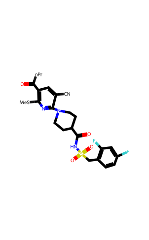 CCCC(=O)c1cc(C#N)c(N2CCC(C(=O)NS(=O)(=O)Cc3ccc(F)cc3F)CC2)nc1SC